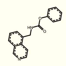 O=C(NCc1cccc2cnccc12)Oc1ccccc1